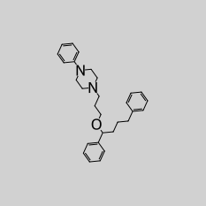 c1ccc(CCCC(OCCCN2CCN(c3ccccc3)CC2)c2ccccc2)cc1